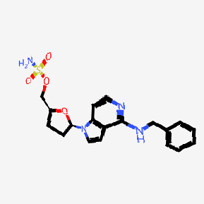 NS(=O)(=O)OC[C@@H]1CC[C@H](n2ccc3c(NCc4ccccc4)nccc32)O1